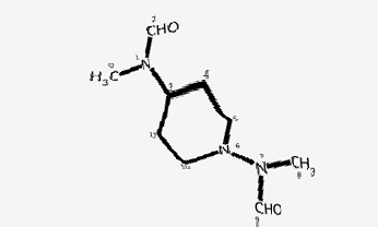 CN(C=O)C1CCN(N(C)C=O)CC1